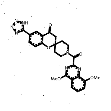 COc1nc(C(=O)N2CCC3(CC2)CC(=O)c2cc(-c4nnn[nH]4)ccc2O3)nc2c(OC)cccc12